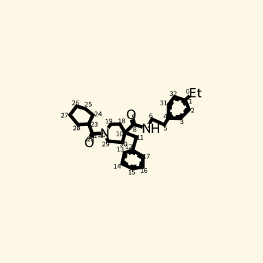 CCc1ccc(CCNC(=O)C2(Cc3ccccc3)CCN(C(=O)C3CCCCC3)CC2)cc1